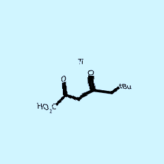 CC(C)(C)CC(=O)CC(=O)C(=O)O.[Ti]